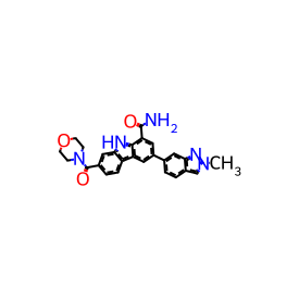 Cn1cc2ccc(-c3cc(C(N)=O)c4[nH]c5cc(C(=O)N6CCOCC6)ccc5c4c3)cc2n1